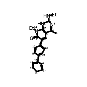 CCNC1N=C(C)c2cc(-c3ccc(C4=CCCC=C4)cc3)c(=O)n(CC)c2N1